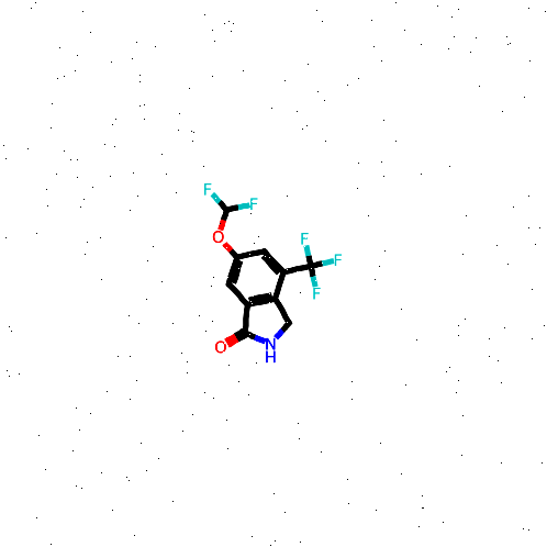 O=C1NCc2c1cc(OC(F)F)cc2C(F)(F)F